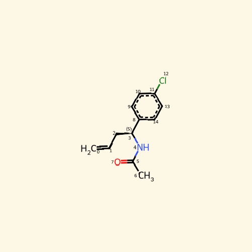 C=CC[C@H](NC(C)=O)c1ccc(Cl)cc1